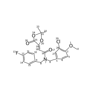 COc1ccc(CN(Cc2ccc(F)cc2)C(=O)/C=C2\OC(C)(C)OC2=O)cc1Cl